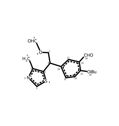 Cc1ncsc1C(COC=O)c1ccc(OCC(C)C)c(C=O)c1